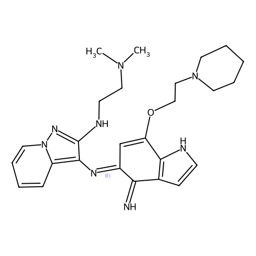 CN(C)CCNc1nn2ccccc2c1/N=C1\C=C(OCCN2CCCCC2)c2[nH]ccc2C1=N